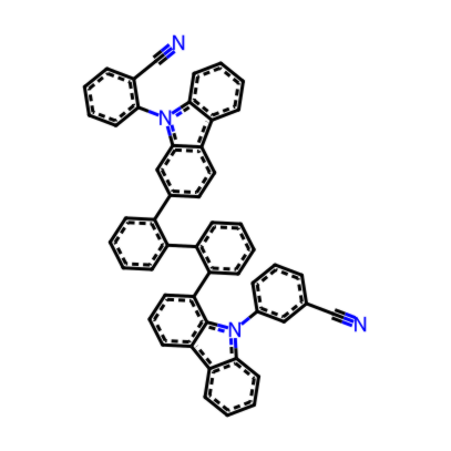 N#Cc1cccc(-n2c3ccccc3c3cccc(-c4ccccc4-c4ccccc4-c4ccc5c6ccccc6n(-c6ccccc6C#N)c5c4)c32)c1